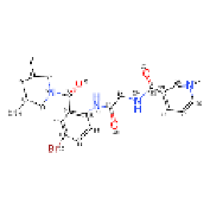 CCC1CC(C)CN(C(=O)c2cc(Br)ccc2NC(=O)CNC(=O)c2cccnc2)C1